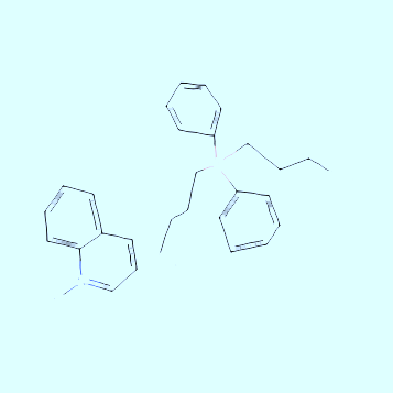 CCCC[B-](CCCC)(c1ccccc1)c1ccccc1.C[n+]1cccc2ccccc21